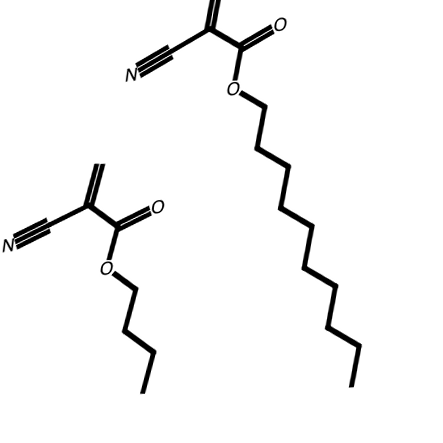 C=C(C#N)C(=O)OCCCC.C=C(C#N)C(=O)OCCCCCCCCCC